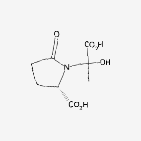 CC(O)(C(=O)O)N1C(=O)CC[C@H]1C(=O)O